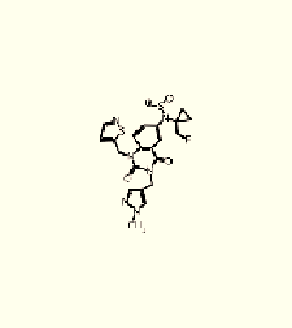 Cn1cc(Cn2c(=O)c3cc(N([SH](=O)=O)C4(CF)CC4)ccc3n(Cc3ccns3)c2=O)cn1